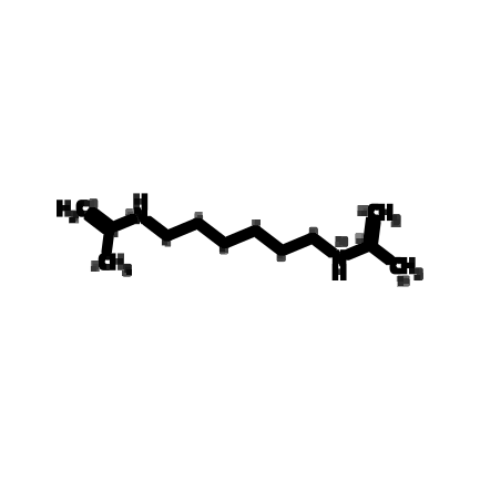 C=C(C)NCCCCCCNC(=C)C